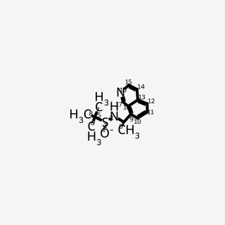 C[C@H](N[S+]([O-])C(C)(C)C)c1cccc2ccncc12